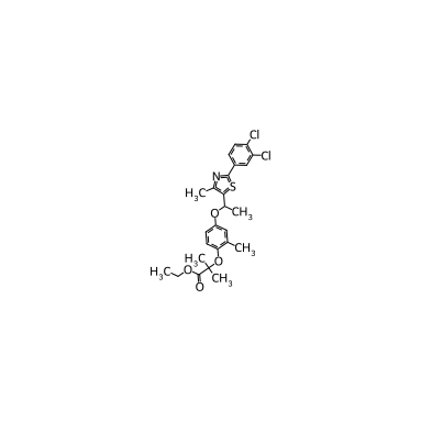 CCOC(=O)C(C)(C)Oc1ccc(OC(C)c2sc(-c3ccc(Cl)c(Cl)c3)nc2C)cc1C